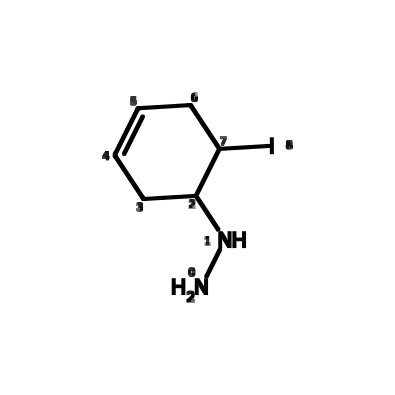 NNC1CC=CCC1I